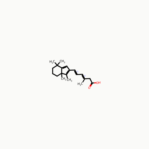 CC1=C(/C=C/C=C(\C)CC(=O)O)C=C2C(C)(C)CCCC21C